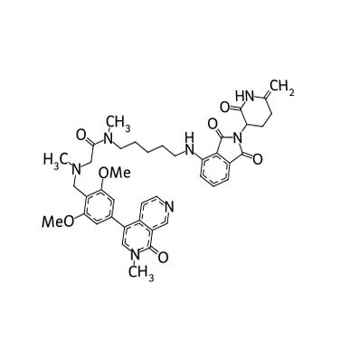 C=C1CCC(N2C(=O)c3cccc(NCCCCCN(C)C(=O)CN(C)Cc4c(OC)cc(-c5cn(C)c(=O)c6cnccc56)cc4OC)c3C2=O)C(=O)N1